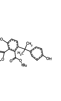 CC(C)(C)OC(=O)c1c(O)ccc(C(C)(C)c2ccc(O)cc2)c1C(=O)OC(C)(C)C